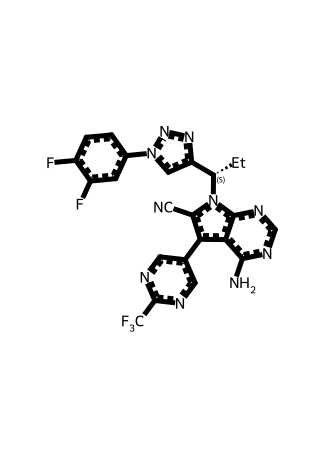 CC[C@@H](c1cn(-c2ccc(F)c(F)c2)nn1)n1c(C#N)c(-c2cnc(C(F)(F)F)nc2)c2c(N)ncnc21